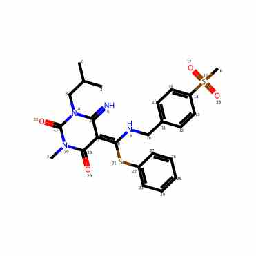 CC(C)CN1C(=N)/C(=C(\NCc2ccc(S(C)(=O)=O)cc2)Sc2ccccc2)C(=O)N(C)C1=O